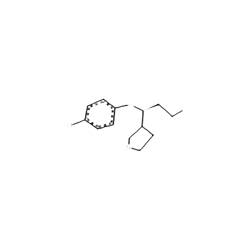 CCC[C@H](Oc1ccc(Cl)cc1)C1CCNC1